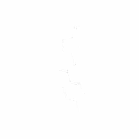 NC1CCC(NC(=O)c2ccc(F)cc2)C1